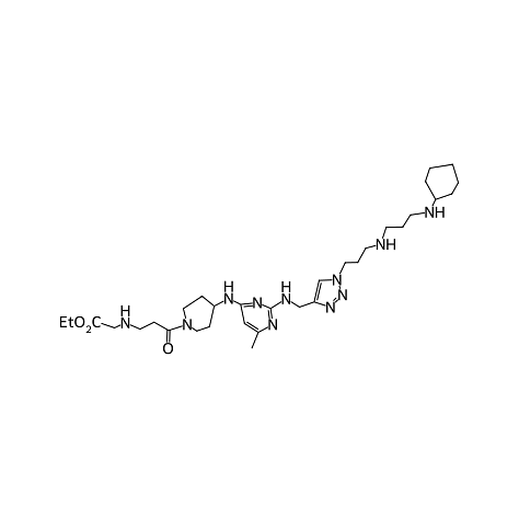 CCOC(=O)CNCCC(=O)N1CCC(Nc2cc(C)nc(NCc3cn(CCCNCCCNC4CCCCC4)nn3)n2)CC1